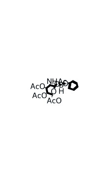 CC(=O)N[C@H]1C(OBOc2ccccc2)O[C@H](COC(C)=O)[C@@H](OC(C)=O)[C@@H]1OC(C)=O